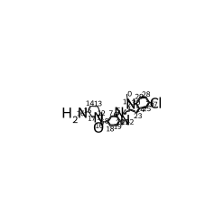 CCn1c(-c2nc3cc(C(=O)N4CCC[C@@H](N)C4)ccc3n2C)cc2cc(Cl)ccc21